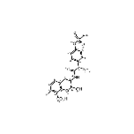 NC(C(=O)NC1Cc2ccc(F)c(C(=O)O)c2OB1O)c1ccc(OS(=O)(=O)F)cc1